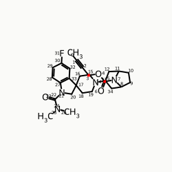 CC#CCOC(=O)N1C2CCC1CC(N1CCC3(CC1)CN(C(=O)N(C)C)c1ccc(F)cc13)C2